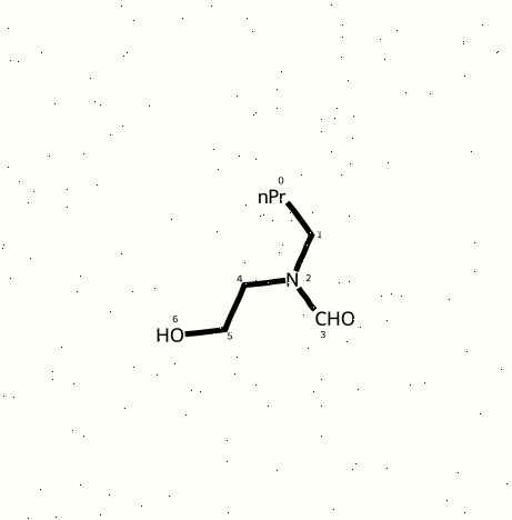 CCCCN(C=O)CCO